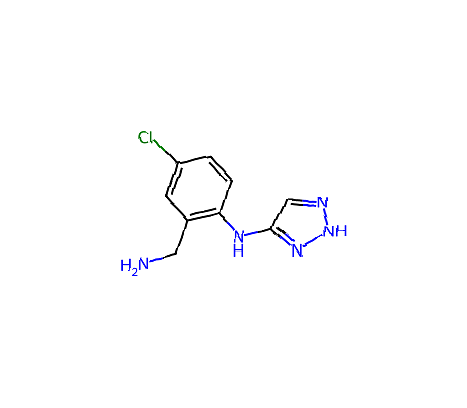 NCc1cc(Cl)ccc1Nc1cn[nH]n1